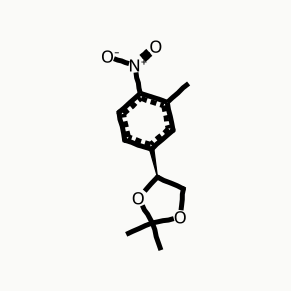 Cc1cc([C@H]2COC(C)(C)O2)ccc1[N+](=O)[O-]